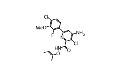 CC=C(C)ONC(=O)c1nc(-c2ccc(Cl)c(OC)c2F)cc(N)c1Cl